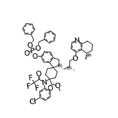 COC(=O)C1(N(C(=O)C(F)(F)F)c2cccc(Cl)c2)CCC2(CC1)c1cc(OP(=O)(OCc3ccccc3)OCc3ccccc3)ccc1C[C@@H]2C[C@@H](C)COc1ccnc2c1[C@H](C)CCC2